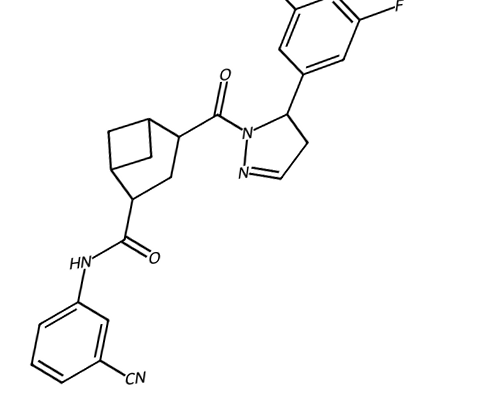 N#Cc1cccc(NC(=O)C2CC(C(=O)N3N=CCC3c3cc(F)cc(F)c3)C3CC2C3)c1